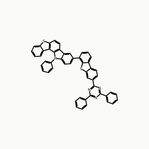 c1ccc(-c2nc(-c3ccccc3)nc(-c3ccc4c(c3)sc3c(-c5ccc6c(c5)c5ccc7sc8ccccc8c7c5n6-c5ccccc5)cccc34)n2)cc1